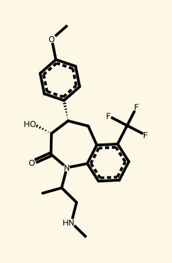 CNCC(C)N1C(=O)[C@H](O)[C@H](c2ccc(OC)cc2)Cc2c1cccc2C(F)(F)F